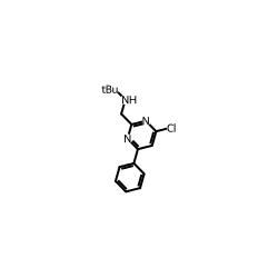 CC(C)(C)NCc1nc(Cl)cc(-c2ccccc2)n1